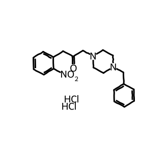 Cl.Cl.O=C(Cc1ccccc1[N+](=O)[O-])CN1CCN(Cc2ccccc2)CC1